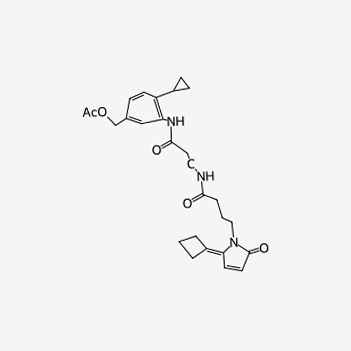 CC(=O)OCc1ccc(C2CC2)c(NC(=O)CCNC(=O)CCCN2C(=O)C=CC2=C2CCC2)c1